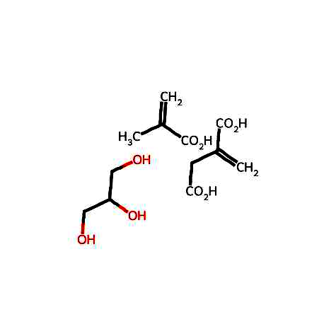 C=C(C)C(=O)O.C=C(CC(=O)O)C(=O)O.OCC(O)CO